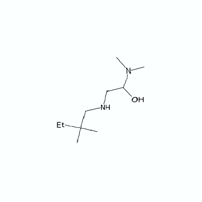 CCC(C)(C)CNCC(O)N(C)C